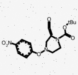 CC(C)(C)OC(=O)N1CCN(Oc2ccc([N+](=O)[O-])cc2)CC1=C=O